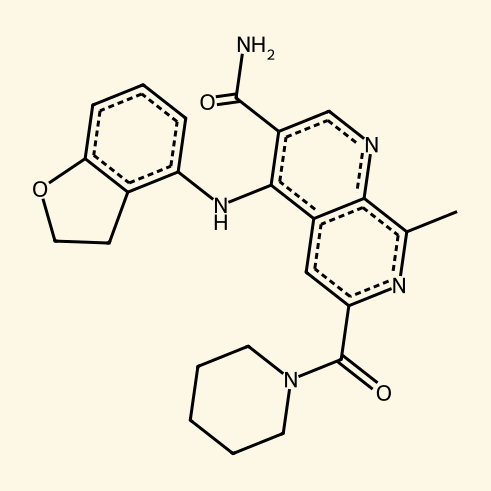 Cc1nc(C(=O)N2CCCCC2)cc2c(Nc3cccc4c3CCO4)c(C(N)=O)cnc12